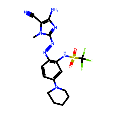 Cn1c(N=Nc2ccc(N3CCCCC3)cc2NS(=O)(=O)C(F)(F)F)nc(N)c1C#N